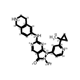 CC(C)n1c(=O)c2cnc(Nc3ccc4c(c3)CCNC4)nc2n1-c1ccnc(C2(C)CC2)c1